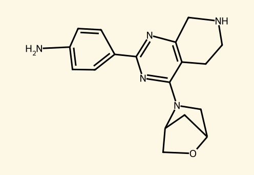 Nc1ccc(-c2nc3c(c(N4CC5CC4CO5)n2)CCNC3)cc1